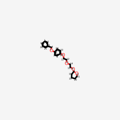 c1ccc(COc2ccc(OCCOCCOC3CCCCO3)cc2)cc1